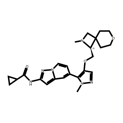 CN1CC2(CCOCC2)[C@H]1COc1cnn(C)c1-c1ccn2nc(NC(=O)C3CC3)cc2c1